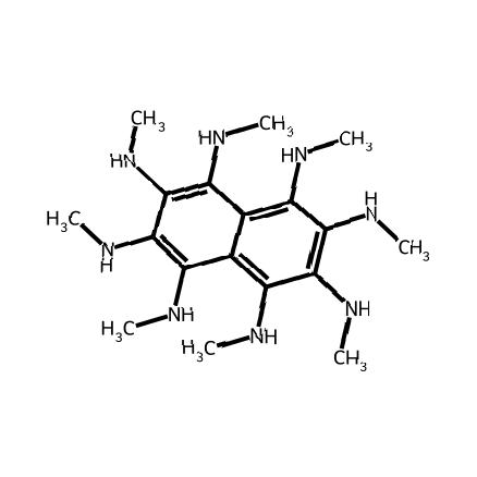 CNc1c(NC)c(NC)c2c(NC)c(NC)c(NC)c(NC)c2c1NC